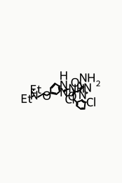 CCN(CC)CCOc1ccc2[nH]c(NC(=O)c3c(C(N)=O)ncn3-c3c(Cl)cccc3Cl)nc2c1